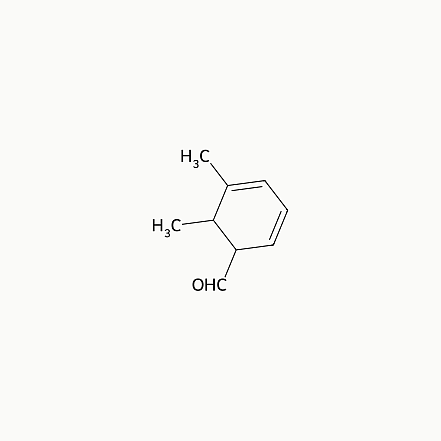 CC1=CC=CC(C=O)C1C